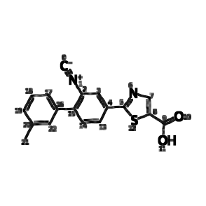 [C-]#[N+]c1cc(-c2ncc(C(=O)O)s2)ccc1-c1cccc(C)c1